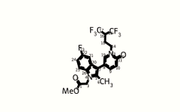 COC(=O)Cn1c(C)c(-c2ccc(=O)n(CCC(C(F)(F)F)C(F)(F)F)c2)c2cc(F)ccc21